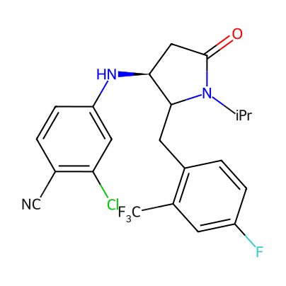 CC(C)N1C(=O)C[C@H](Nc2ccc(C#N)c(Cl)c2)C1Cc1ccc(F)cc1C(F)(F)F